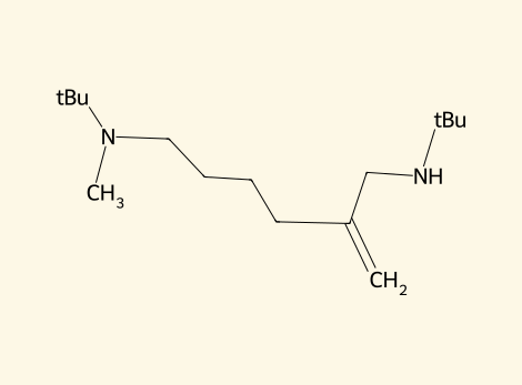 C=C(CCCCN(C)C(C)(C)C)CNC(C)(C)C